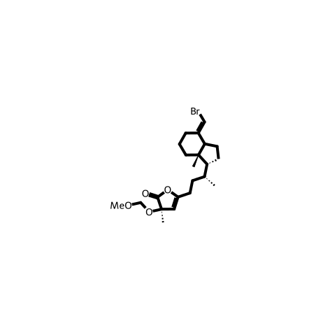 COCO[C@]1(C)C=C(CC[C@@H](C)[C@H]2CCC3C(=CBr)CCC[C@]32C)OC1=O